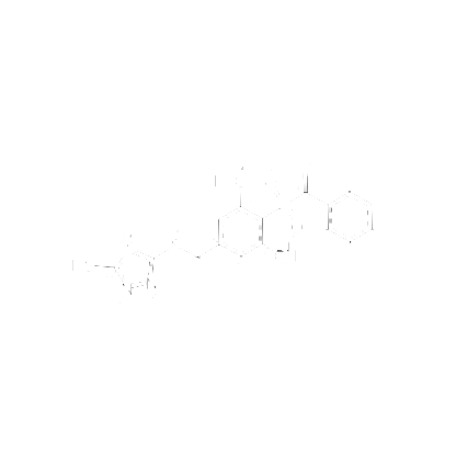 CCOP(=O)(C(=O)c1ccccc1)c1c(C)cc(CSc2nnc(S)s2)cc1C